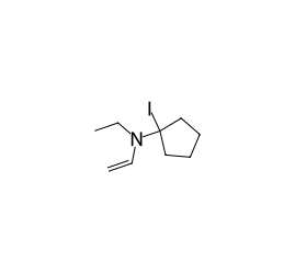 C=CN(CC)C1(I)CCCC1